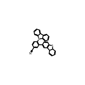 N#Cc1ccc(-n2c3ccccc3c3ccccc32)c(-c2ccc3c(c2)C2C=CC=CC2S3)c1